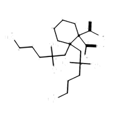 CCCCC(C)(C)CC1(CC(C)(C)CCCC)CCCCC1(C(=O)O)C(=O)O